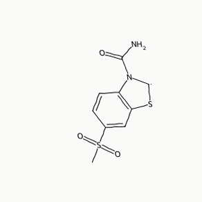 CS(=O)(=O)c1ccc2c(c1)S[CH]N2C(N)=O